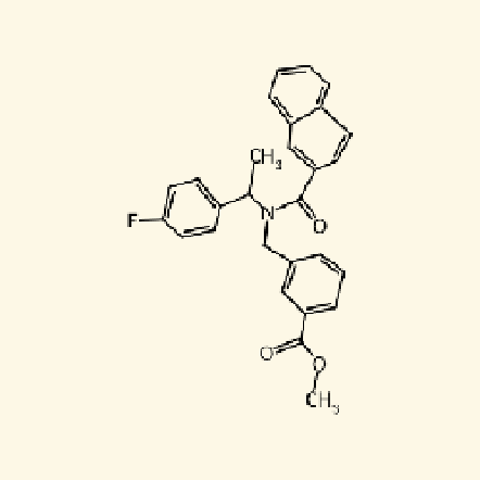 COC(=O)c1cccc(CN(C(=O)c2ccc3ccccc3c2)C(C)c2ccc(F)cc2)c1